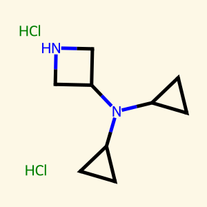 C1CC1N(C1CC1)C1CNC1.Cl.Cl